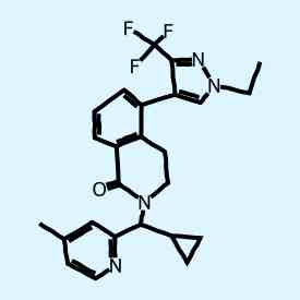 CCn1cc(-c2cccc3c2CCN(C(c2cc(C)ccn2)C2CC2)C3=O)c(C(F)(F)F)n1